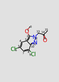 COc1c2cc(Cl)cc(Cl)c2nn1CC(C)=O